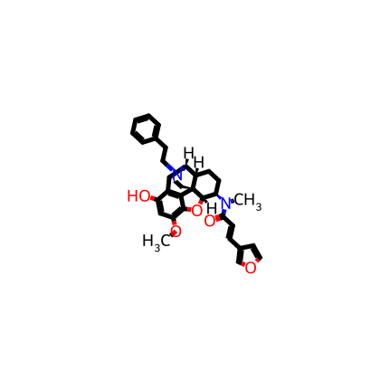 COc1cc(O)c2c3c1O[C@H]1[C@H](N(C)C(=O)/C=C/c4ccoc4)CC[C@H]4[C@@H](C2)N(CCc2ccccc2)CC[C@@]341